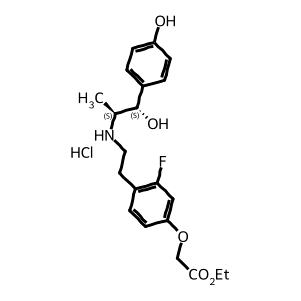 CCOC(=O)COc1ccc(CCN[C@@H](C)[C@@H](O)c2ccc(O)cc2)c(F)c1.Cl